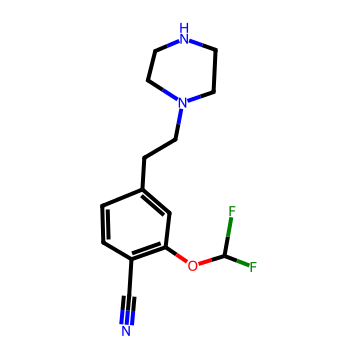 N#Cc1ccc(CCN2CCNCC2)cc1OC(F)F